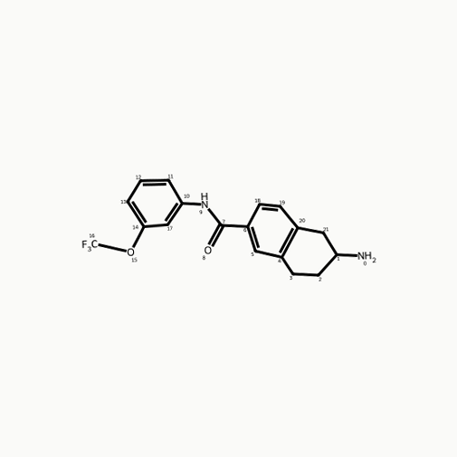 NC1CCc2cc(C(=O)Nc3cccc(OC(F)(F)F)c3)ccc2C1